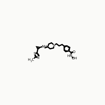 Cc1ncc(C2CC2NCC2CCN(CCCc3ccc(C(=O)NO)cc3)CC2)s1